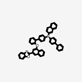 c1ccc(-c2ccc(N(c3ccc(-c4ccccc4Oc4cc(-c5nc6ccccc6o5)cc5ccccc45)cc3)c3ccc4ccccc4c3)cc2)cc1